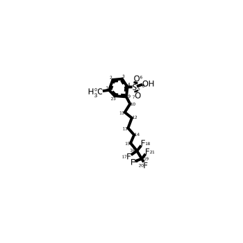 Cc1ccc(S(=O)(=O)O)c(CCCCCCC(F)(F)C(F)(F)F)c1